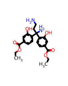 CCOC(=O)c1ccc(C(N)(CCN)c2ccc(C(=O)OCC)cc2O)c(O)c1